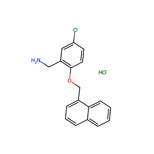 Cl.NCc1cc(Cl)ccc1OCc1cccc2ccccc12